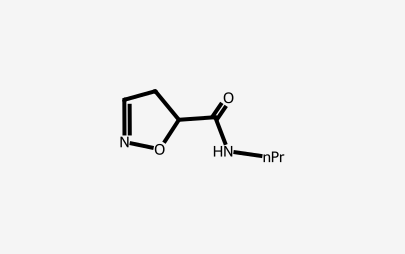 CCCNC(=O)C1CC=NO1